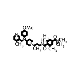 COc1ccc(N(Cc2cnccc2C)C2CCN([C@H](C)CCNC(=O)c3c(C)cc(C(=O)N(C)C)cc3C)CC2)cc1